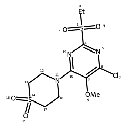 CCS(=O)(=O)c1nc(Cl)c(OC)c(N2CCS(=O)(=O)CC2)n1